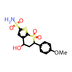 COc1ccc(C2CC(O)c3cc(S(N)(=O)=O)sc3S2(=O)=O)cc1